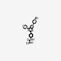 CCNC(=O)Nc1ccc(-c2nc3c(c(N4CCOCC4)n2)CN(C2CCN(C(C)=O)CC2)C3)cc1